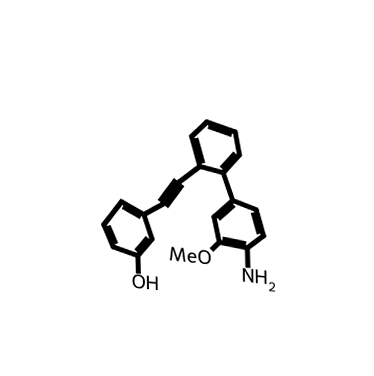 COc1cc(-c2ccccc2C#Cc2cccc(O)c2)ccc1N